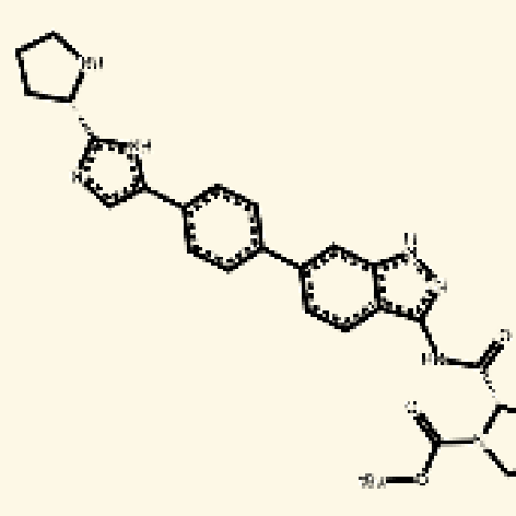 CC(C)(C)OC(=O)N1CCC[C@H]1C(=O)Nc1n[nH]c2cc(-c3ccc(-c4cnc([C@@H]5CCCN5)[nH]4)cc3)ccc12